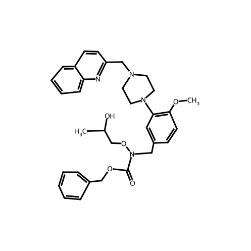 COc1ccc(CN(OCC(C)O)C(=O)OCc2ccccc2)cc1N1CCN(Cc2ccc3ccccc3n2)CC1